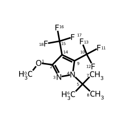 COc1nn(C(C)(C)C)c(C(F)(F)F)c1C(F)(F)F